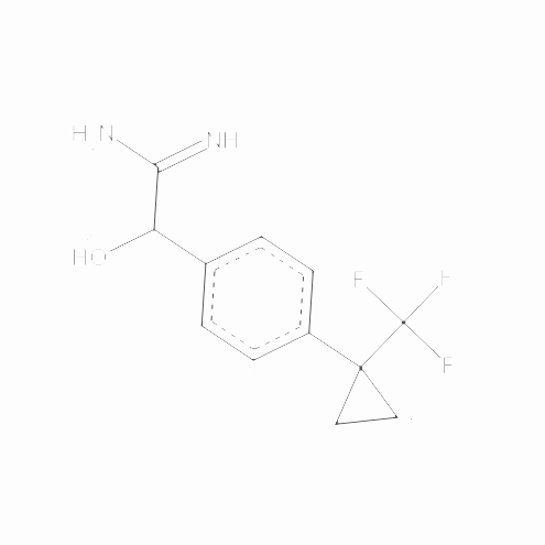 N=C(N)C(O)c1ccc(C2(C(F)(F)F)CC2)cc1